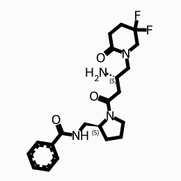 N[C@@H](CC(=O)N1CCC[C@H]1CNC(=O)c1ccccc1)CN1CC(F)(F)CCC1=O